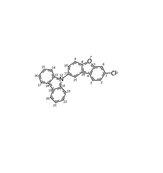 Clc1ccc2c(c1)oc1ccc(-n3c4ccccc4c4ccccc43)cc12